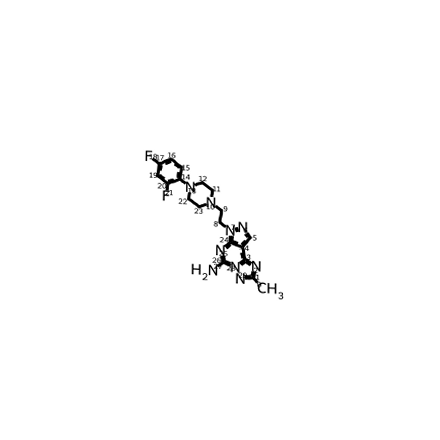 Cc1nc2c3cnn(CCN4CCN(c5ccc(F)cc5F)CC4)c3nc(N)n2n1